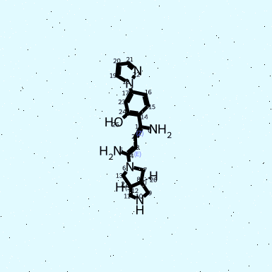 N/C(=C\C=C(/N)N1C[C@H]2CNC[C@H]2C1)c1ccc(-n2cccn2)cc1O